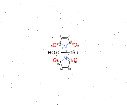 CCCCC(C(=O)O)(N1C(=O)C=CC1=O)N1C(=O)CCC1=O